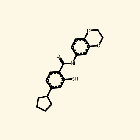 O=C(Nc1ccc2c(c1)OCCO2)c1ccc(C2CCCC2)cc1S